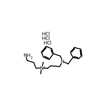 C[N+](C)(CCCN)CCCN(Cc1ccccc1)Cc1ccccc1.Cl.Cl.Cl